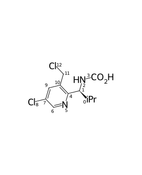 CC(C)[C@H](NC(=O)O)c1ncc(Cl)cc1CCl